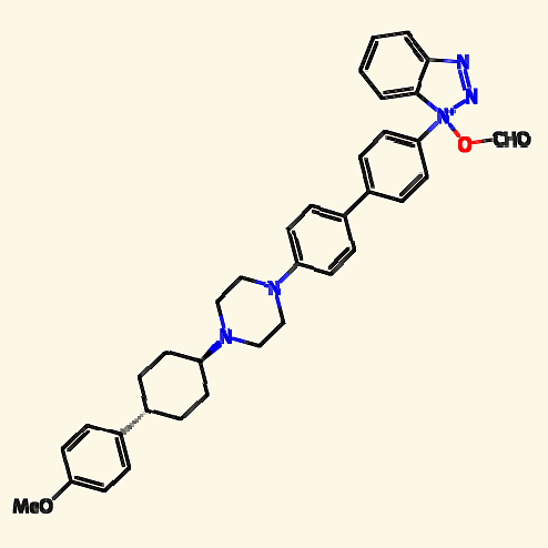 COc1ccc([C@H]2CC[C@H](N3CCN(c4ccc(-c5ccc([N+]6(OC=O)N=Nc7ccccc76)cc5)cc4)CC3)CC2)cc1